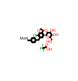 CNCc1ccc(Cc2cc([C@@H]3O[C@H](CO)[C@@H](O)[C@H](O)[C@H]3O)c3c(c2Cl)OCC3)cc1.O=C(O)C(F)(F)F